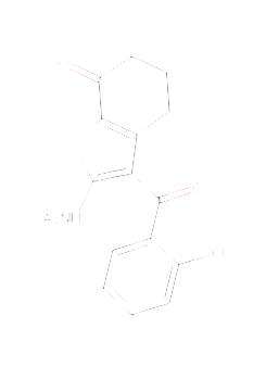 CC(=O)Nc1sc2c(c1C(=O)c1ccccc1Cl)CCCC2=O